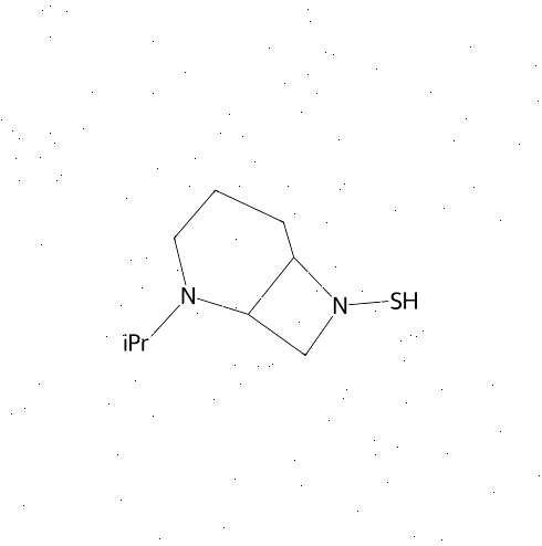 CC(C)N1CCCC2C1CN2S